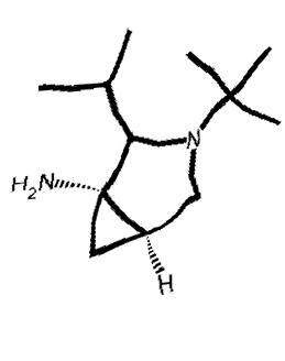 CC(C)C1N(C(C)(C)C)C[C@H]2C[C@@]12N